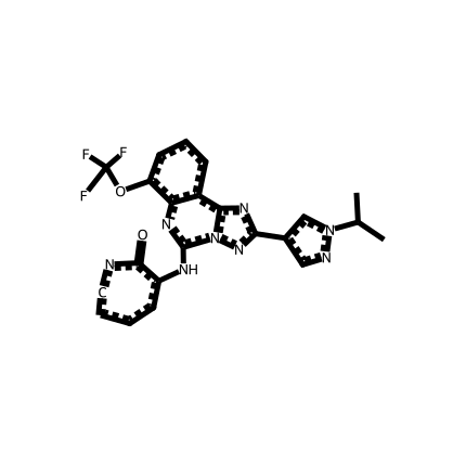 CC(C)n1cc(-c2nc3c4cccc(OC(F)(F)F)c4nc(Nc4ccccnc4=O)n3n2)cn1